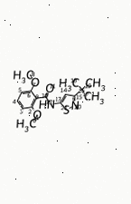 COc1cccc(OC)c1C(=O)Nc1cc(C(C)(C)C)ns1